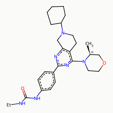 CCNC(=O)Nc1ccc(-c2nc3c(c(N4CCOC[C@@H]4C)n2)CCN(C2CCCCC2)C3)cc1